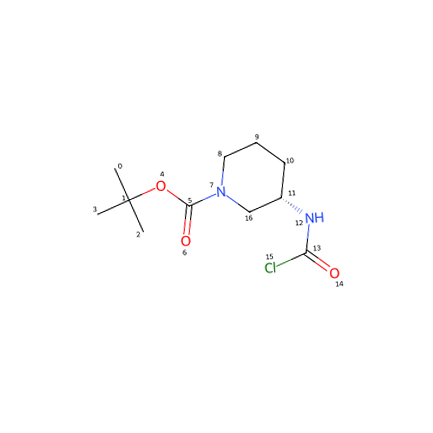 CC(C)(C)OC(=O)N1CCC[C@H](NC(=O)Cl)C1